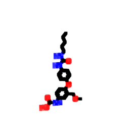 CCCCCNC(=O)Nc1ccc(Oc2ccc(NC(=O)O)cc2COC)cc1